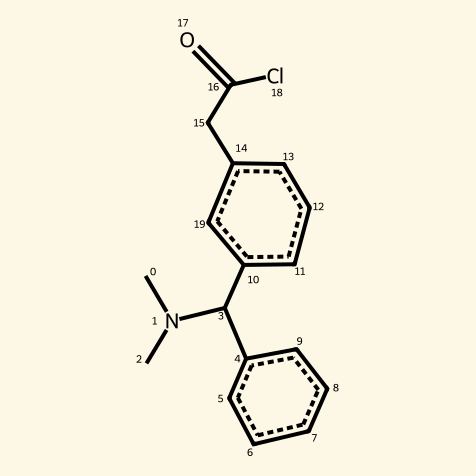 CN(C)C(c1ccccc1)c1cccc(CC(=O)Cl)c1